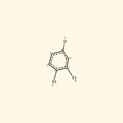 CCc1c[c]c(Br)cc1CC